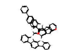 Fc1ccc(-c2nc(-c3ccc(-c4ccccc4)cc3)nc(-n3c4ccccc4c4ccc5c6ccccc6n(-c6cc(-c7ccccc7)c7oc8ccccc8c7c6)c5c43)n2)cc1